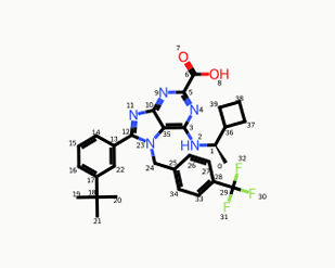 C[C@@H](Nc1nc(C(=O)O)nc2nc(-c3cccc(C(C)(C)C)c3)n(Cc3ccc(C(F)(F)F)cc3)c12)C1CCC1